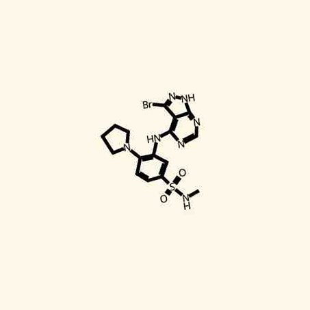 CNS(=O)(=O)c1ccc(N2CCCC2)c(Nc2ncnc3[nH]nc(Br)c23)c1